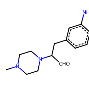 CN1CCN(C(C=O)Cc2cccc(N)c2)CC1